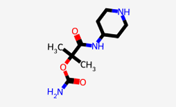 CC(C)(OC(N)=O)C(=O)NC1CCNCC1